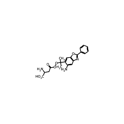 CC(C)(OOC(=O)CC(N)C(=O)O)c1cc2oc(-c3ccccc3)nc2cc1N